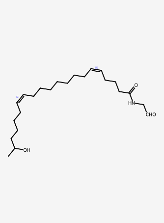 CC(O)CCCC/C=C\CCCCCCC/C=C\CCCC(=O)NCC=O